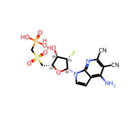 N#Cc1nc2c(ccn2[C@@H]2O[C@H](CS(=O)(=O)CP(=O)(O)O)[C@@H](O)[C@@H]2F)c(N)c1C#N